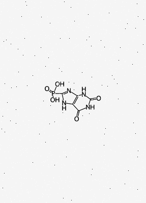 O=c1[nH]c(=O)c2[nH]c(P(=O)(O)O)nc2[nH]1